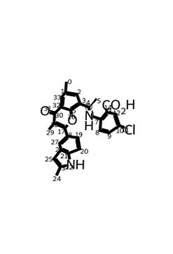 Cc1cc([C@@H](C)Nc2ccc(Cl)cc2C(=O)O)c2oc(-c3ccc4[nH]c(C)cc4c3)c(C)c(=O)c2c1